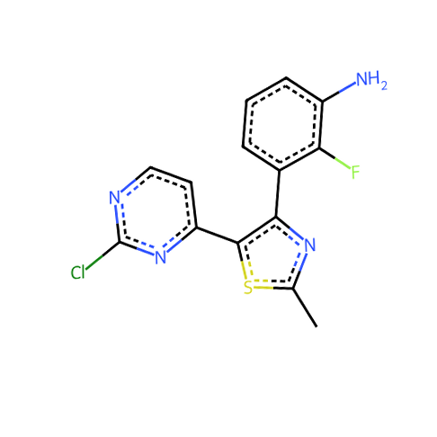 Cc1nc(-c2cccc(N)c2F)c(-c2ccnc(Cl)n2)s1